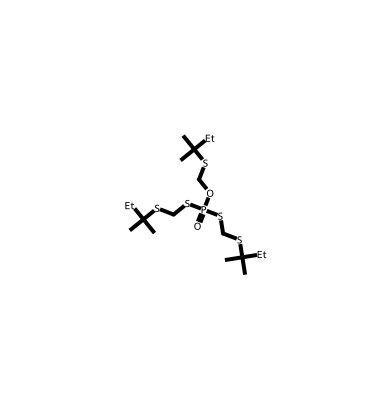 CCC(C)(C)SCOP(=O)(SCSC(C)(C)CC)SCSC(C)(C)CC